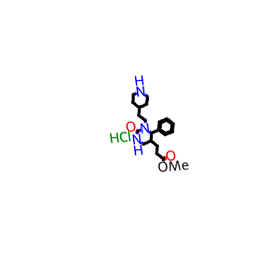 COC(=O)CCC1CNC(=O)N(CCC2CCNCC2)C1c1ccccc1.Cl